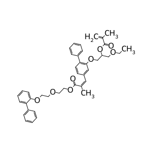 C=C(C)C(=O)OC(COCC)COc1cc(/C=C(/C)C(=O)OCCOCCOc2ccccc2-c2ccccc2)ccc1-c1ccccc1